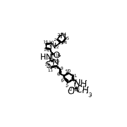 CC(=O)Nc1ccc(C=Cc2csc(NC(=O)c3cccn3Cc3ccncc3)n2)cc1